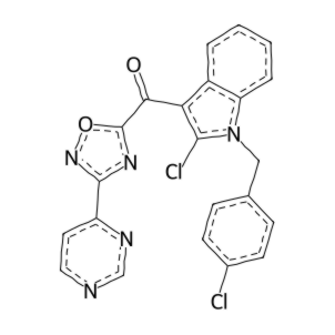 O=C(c1nc(-c2ccncn2)no1)c1c(Cl)n(Cc2ccc(Cl)cc2)c2ccccc12